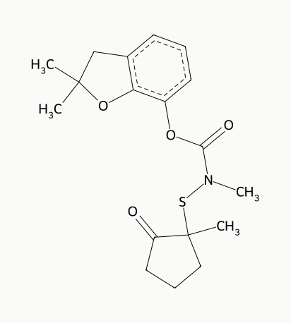 CN(SC1(C)CCCC1=O)C(=O)Oc1cccc2c1OC(C)(C)C2